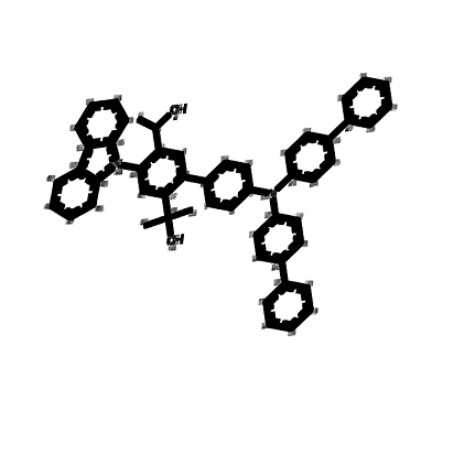 CC(O)c1cc(-c2ccc(N(c3ccc(-c4ccccc4)cc3)c3ccc(-c4ccccc4)cc3)cc2)c(C(C)(C)O)cc1-n1c2ccccc2c2ccccc21